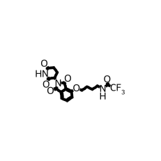 O=C1CCC(N2C(=O)c3cccc(OCCCCNC(=O)C(F)(F)F)c3C2=O)C(=O)N1